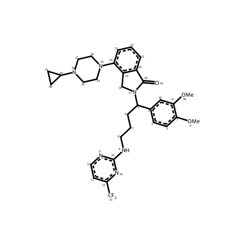 COc1ccc(C(CCCNc2nccc(C(F)(F)F)n2)N2Cc3c(cccc3N3CCN(C4CC4)CC3)C2=O)cc1OC